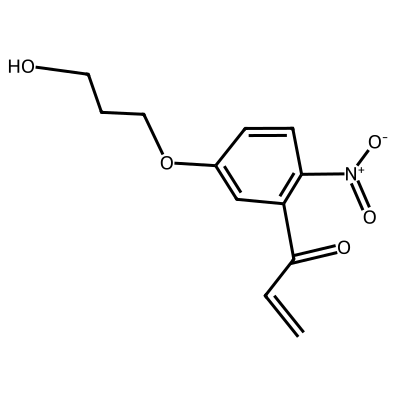 C=CC(=O)c1cc(OCCCO)ccc1[N+](=O)[O-]